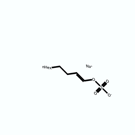 CCCCCCCC/C=C/OS(=O)(=O)[O-].[Na+]